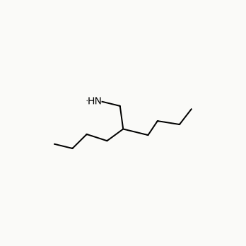 CCCCC(C[NH])CCCC